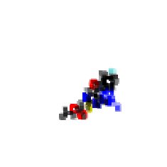 CCCOC(=O)CSc1ncc(C(=O)Nc2ccc(F)cc2)c(N)n1